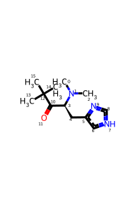 CN(C)[C@@H](Cc1c[nH]cn1)C(=O)C(C)(C)C